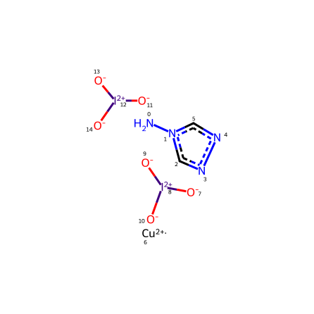 Nn1cnnc1.[Cu+2].[O-][I+2]([O-])[O-].[O-][I+2]([O-])[O-]